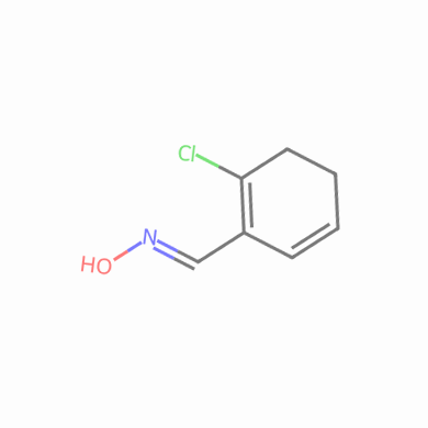 ON=CC1=C(Cl)CCC=C1